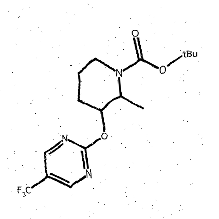 CC1C(Oc2ncc(C(F)(F)F)cn2)CCCN1C(=O)OC(C)(C)C